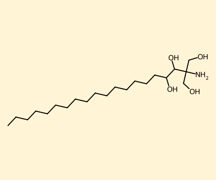 CCCCCCCCCCCCCCCCC(O)C(O)C(N)(CO)CO